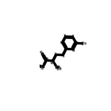 N[C@H](CCc1cccc(F)c1)C(=O)O